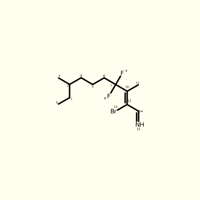 CCC(C)CCCC(F)(F)/C(C)=C(\Br)C=N